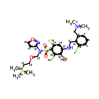 CN(C)Cc1cccc(F)c1CNc1cc(F)c(S(=O)(=O)N(COCCS(C)(C)C)c2ccon2)c(F)c1Br